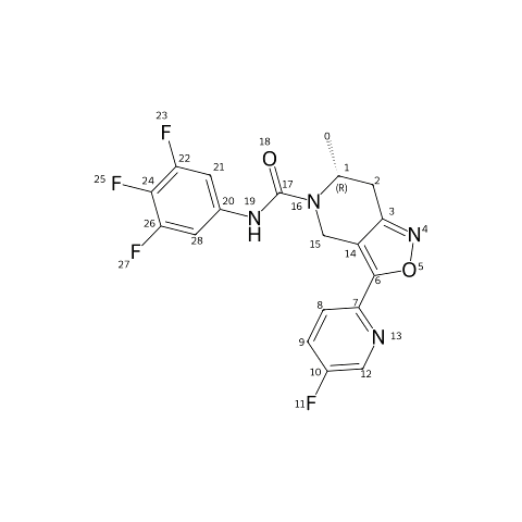 C[C@@H]1Cc2noc(-c3ccc(F)cn3)c2CN1C(=O)Nc1cc(F)c(F)c(F)c1